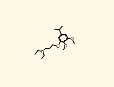 CCN(CC)CCCOc1cc(C(C)C)cc(OC)c1OC